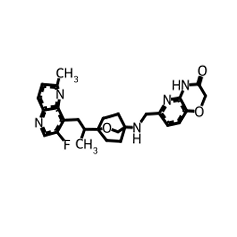 Cc1ccc2ncc(F)c(CC(C)C34CCC(NCc5ccc6c(n5)NC(=O)CO6)(CC3)CO4)c2n1